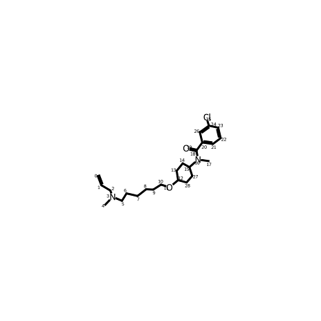 C=CCN(C)CCCCCCOC1CCC(N(C)C(=O)c2cccc(Cl)c2)CC1